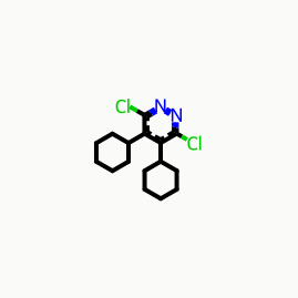 Clc1nnc(Cl)c(C2CCCCC2)c1C1CCCCC1